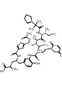 CC[C@H](C)[C@H](NC(=O)C(C)(C)N1CCCC1)C(=O)N(C)[C@H](C[C@@H](OC(C)=O)c1nc(C(=O)N[C@@H](Cc2ccc(O)c(NC(=O)CCCN3CC(=O)C=CC3=O)c2)CC(C)C(=O)O)cs1)C(C)C